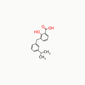 CC(C)c1cccc(Cc2cccc(C(=O)O)c2O)c1